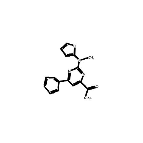 CNC(=O)c1cc(-c2ccccc2)nc(N(C)c2ccco2)n1